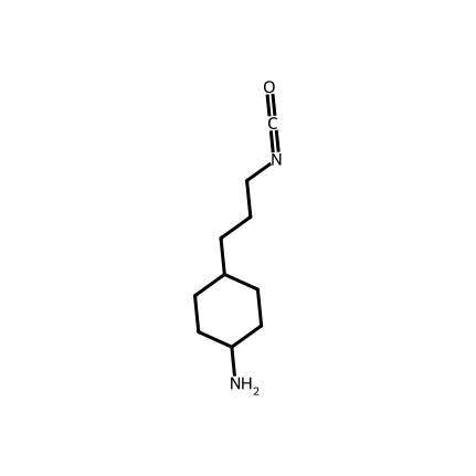 NC1CCC(CCCN=C=O)CC1